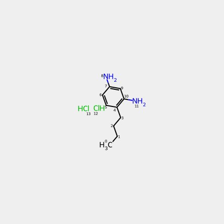 CCCCc1ccc(N)cc1N.Cl.Cl